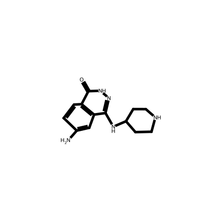 Nc1ccc2c(=O)[nH]nc(NC3CCNCC3)c2c1